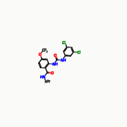 CCCNC(=O)c1ccc(OC(F)(F)F)cc1NC(=O)Nc1cc(Cl)cc(Cl)c1